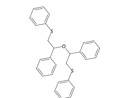 c1ccc(SCC(OC(CSc2ccccc2)c2ccccc2)c2ccccc2)cc1